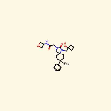 CN[C@]1(c2ccccc2)CC[C@@]2(CC1)CN(CC(=O)NC1COC1)C(=O)N2CC1(O)CCC1